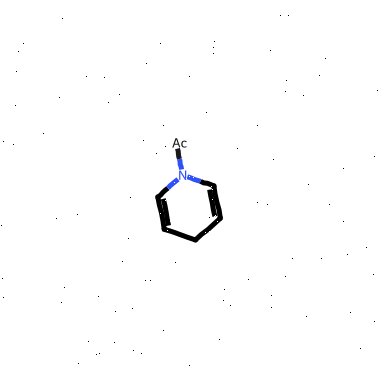 CC(=O)N1C=CCC=C1